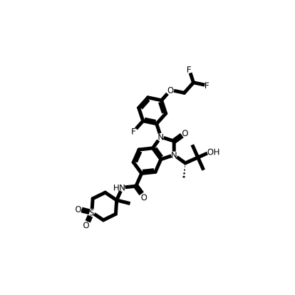 C[C@H](n1c(=O)n(-c2cc(OCC(F)F)ccc2F)c2ccc(C(=O)NC3(C)CCS(=O)(=O)CC3)cc21)C(C)(C)O